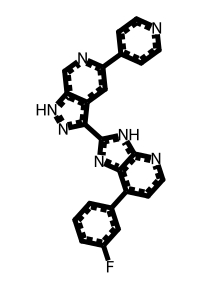 Fc1cccc(-c2ccnc3[nH]c(-c4n[nH]c5cnc(-c6ccncc6)cc45)nc23)c1